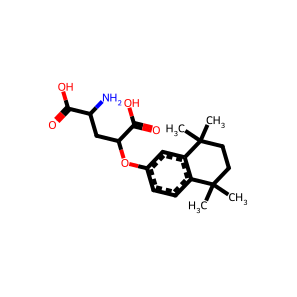 CC1(C)CCC(C)(C)c2cc(OC(CC(N)C(=O)O)C(=O)O)ccc21